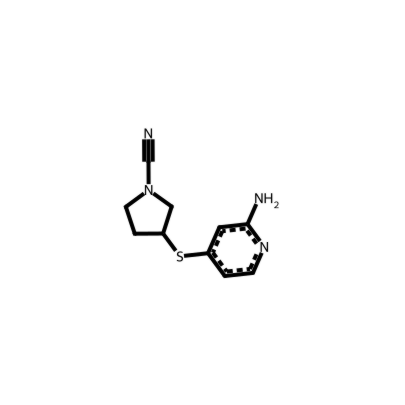 N#CN1CCC(Sc2ccnc(N)c2)C1